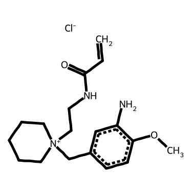 C=CC(=O)NCC[N+]1(Cc2ccc(OC)c(N)c2)CCCCC1.[Cl-]